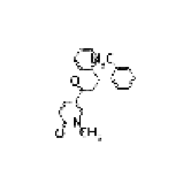 Cc1ccccc1C(CC(=O)c1ccc(=O)n(C)c1)c1ccccc1